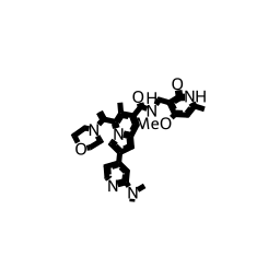 C=C(c1c(C)c(C(=O)NCc2c(OC)cc(C)[nH]c2=O)cc2cc(-c3ccnc(N(C)C)c3)cn12)N1CCOCC1